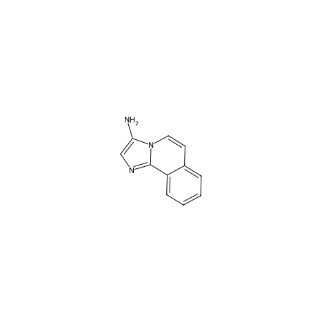 Nc1cnc2c3ccccc3ccn12